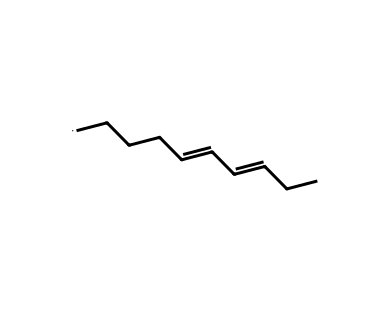 [CH2]CCCC=CC=CCC